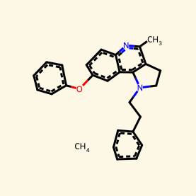 C.Cc1nc2ccc(Oc3ccccc3)cc2c2c1CCN2CCc1ccccc1